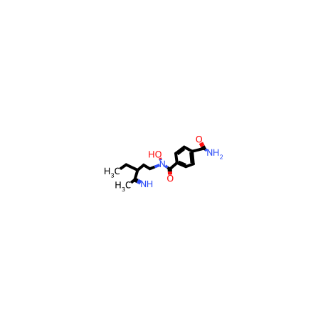 CCC(CCN(O)C(=O)c1ccc(C(N)=O)cc1)C(C)=N